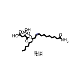 CCCCCC[C@H](C/C=C\CCCCCCCC(N)=O)OC(=O)C(CC(=O)O)S(=O)(=O)O.[NaH].[NaH]